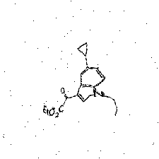 CCOC(=O)C(=O)c1cn(CI)c2ccc(C3CC3)cc12